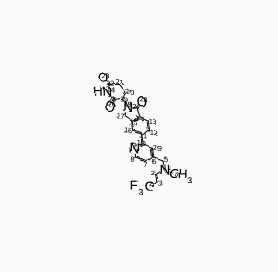 CN(CCC(F)(F)F)Cc1ccnc(-c2ccc3c(c2)CN(C2CCC(=O)NC2=O)C3=O)c1